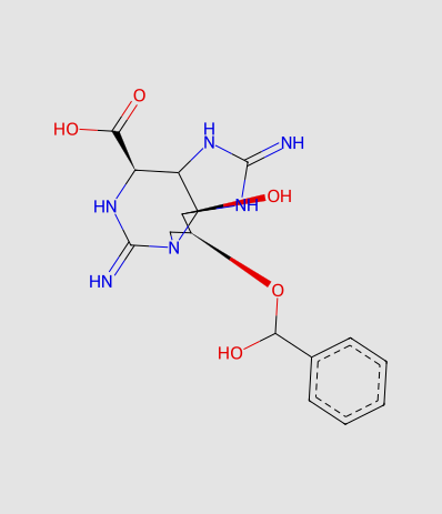 N=C1NC2[C@H](C(=O)O)NC(=N)N3C[C@H](OC(O)c4ccccc4)[C@@H](O)C23N1